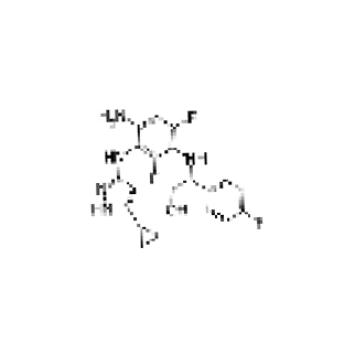 Nc1cc(F)c(NC(CO)c2ccc(F)cc2)c(F)c1Nc1cc(C2CC2)[nH]n1